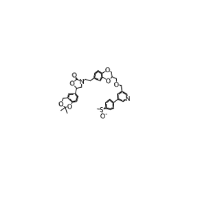 C[S+]([O-])c1ccc(-c2cncc(COCC3COc4ccc(CCN5CC(c6ccc7c(c6)COC(C)(C)O7)OC5=O)cc4O3)c2)cc1